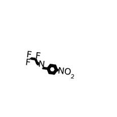 O=[N+]([O-])c1ccc(CN=CC(F)C(F)F)cc1